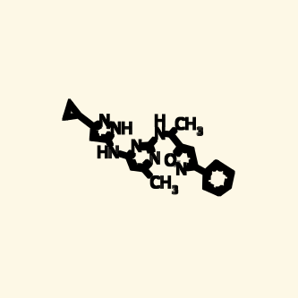 Cc1cc(Nc2cc(C3CC3)n[nH]2)nc(NC(C)c2cc(-c3ccccc3)no2)n1